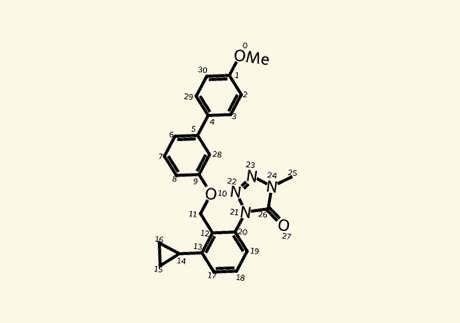 COc1ccc(-c2cccc(OCc3c(C4CC4)cccc3-n3nnn(C)c3=O)c2)cc1